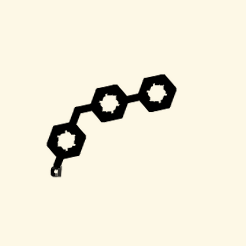 Clc1ccc(Cc2ccc(-c3ccccc3)cc2)cc1